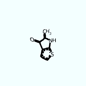 C=C1Nc2sccc2C1=O